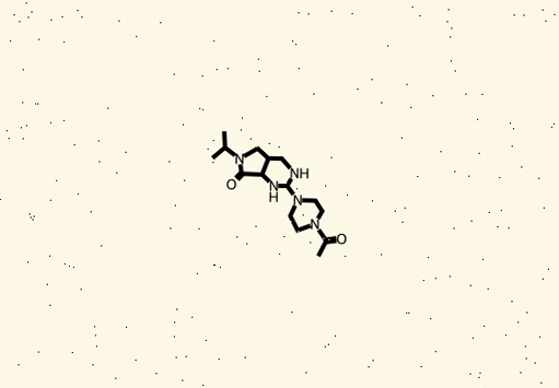 CC(=O)N1CCN(C2NCC3CN(C(C)C)C(=O)C3N2)CC1